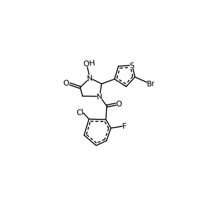 O=C1CN(C(=O)c2c(F)cccc2Cl)C(c2csc(Br)c2)N1O